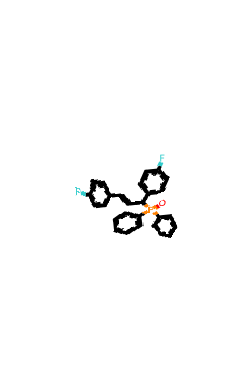 O=P(c1ccccc1)(c1ccccc1)C(/C=C/c1ccc(F)cc1)c1ccc(F)cc1